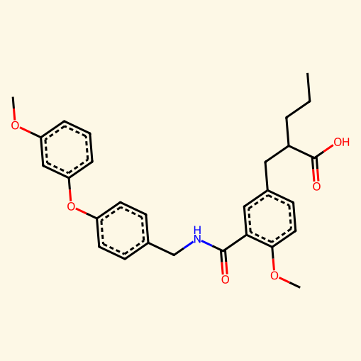 CCCC(Cc1ccc(OC)c(C(=O)NCc2ccc(Oc3cccc(OC)c3)cc2)c1)C(=O)O